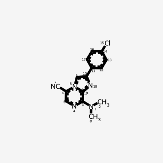 CN(C)c1ncc(C#N)n2cc(-c3ccc(Cl)cc3)nc12